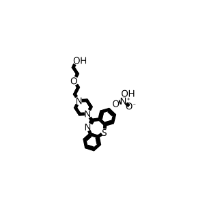 O=[N+]([O-])O.OCCOCCN1CCN(C2=Nc3ccccc3Sc3ccccc32)CC1